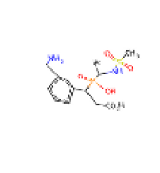 CC(C)C(NS(C)(=O)=O)P(=O)(O)C(CC(=O)O)c1cccc(CN)c1